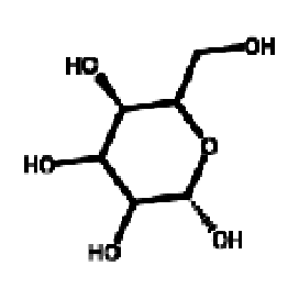 OCC1O[C@H](O)C(O)C(O)[C@H]1O